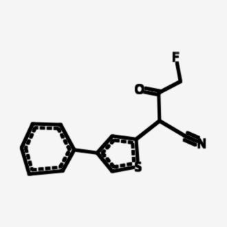 N#CC(C(=O)CF)c1cc(-c2ccccc2)cs1